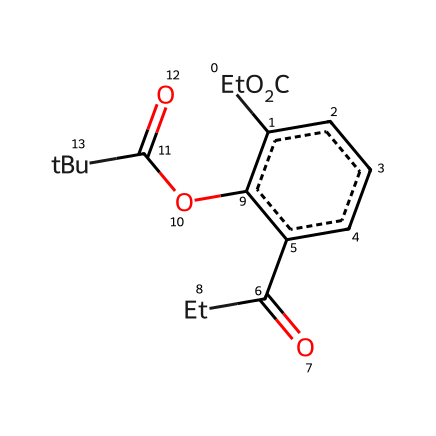 CCOC(=O)c1cccc(C(=O)CC)c1OC(=O)C(C)(C)C